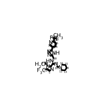 C=Nn1c(C(F)(F)F)cnc1/C(=N\CN1CCCCC1)NCc1nnc(-c2ccc(C(C)(F)F)nc2)[nH]1